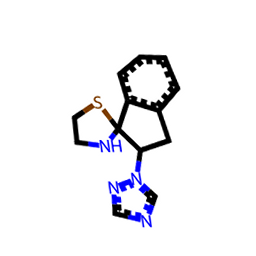 c1ccc2c(c1)CC(n1cncn1)C21NCCS1